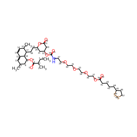 CCC(C)C(=O)OC1CC(C)C=C2C=CC(C)C(CCC3CC(OC(=O)NCCOCCOCCOCCOC(=O)CCCCC4CCSS4)CC(=O)O3)C21